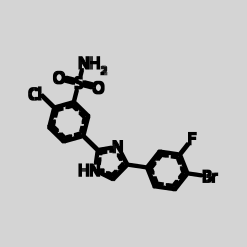 NS(=O)(=O)c1cc(-c2nc(-c3ccc(Br)c(F)c3)c[nH]2)ccc1Cl